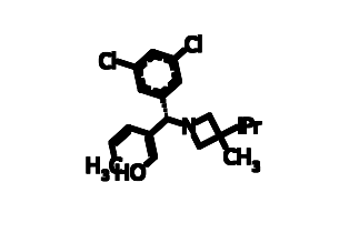 C/C=C\C(=C/O)[C@H](c1cc(Cl)cc(Cl)c1)N1CC(C)(C(C)C)C1